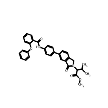 COC(=O)C(C(C)C)N1Cc2ccc(-c3ccc(NC(=O)c4ccccc4Oc4ccccc4)cc3)cc2C1=O